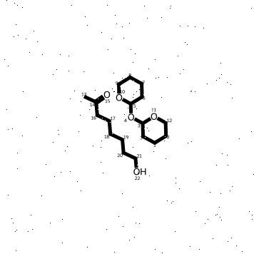 C1CCC(OC2CCCCO2)OC1.CC(=O)CCCCCCO